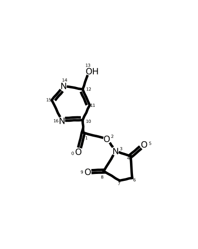 O=C(ON1C(=O)CCC1=O)c1cc(O)ncn1